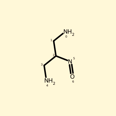 NCC(CN)N=O